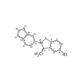 C=C1c2cc(CC)ccc2CN1c1ccc2ccsc2c1